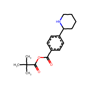 CC(C)(C)C(=O)OC(=O)c1ccc(C2CCCCN2)cc1